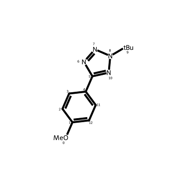 COc1ccc(-c2nnn(C(C)(C)C)n2)cc1